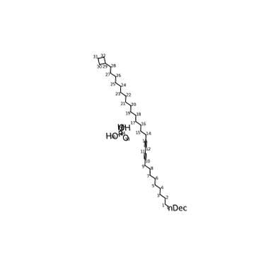 CCCCCCCCCCCCCCCCCCCC#CC#CCCCCCCCCCCCCCCCC1CCC1.O=[PH](O)O